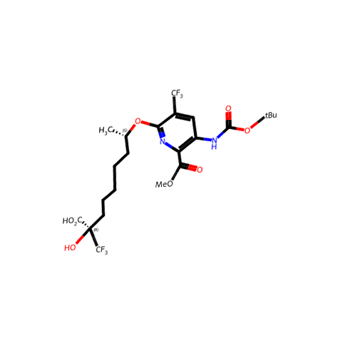 COC(=O)c1nc(O[C@@H](C)CCCCC[C@@](O)(C(=O)O)C(F)(F)F)c(C(F)(F)F)cc1NC(=O)OC(C)(C)C